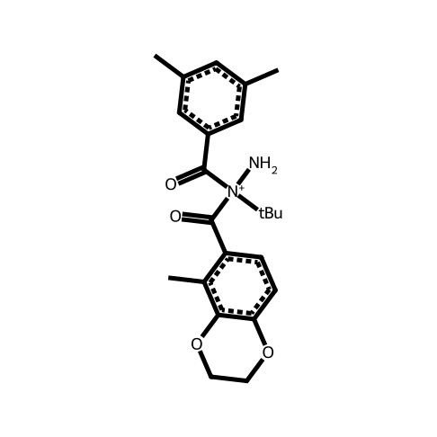 Cc1cc(C)cc(C(=O)[N+](N)(C(=O)c2ccc3c(c2C)OCCO3)C(C)(C)C)c1